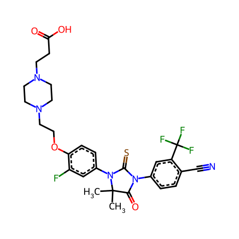 CC1(C)C(=O)N(c2ccc(C#N)c(C(F)(F)F)c2)C(=S)N1c1ccc(OCCN2CCN(CCC(=O)O)CC2)c(F)c1